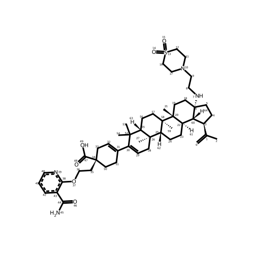 C=C(C)[C@@H]1CC[C@]2(NCCN3CCS(=O)(=O)CC3)CC[C@]3(C)[C@H](CC[C@@H]4[C@@]5(C)CC=C(C6=CC[C@@](CCOc7ncccc7C(N)=O)(C(=O)O)CC6)C(C)(C)[C@@H]5CC[C@]43C)[C@@H]12